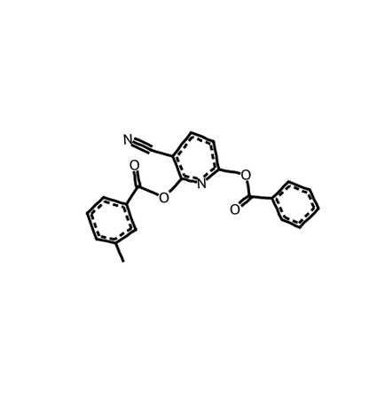 Cc1cccc(C(=O)Oc2nc(OC(=O)c3ccccc3)ccc2C#N)c1